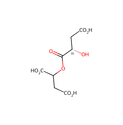 O=C(O)CC(OC(=O)[C@@H](O)CC(=O)O)C(=O)O